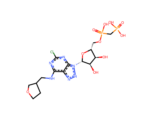 O=P(O)(O)CP(=O)(O)OC[C@H]1O[C@@H](n2nnc3c(NCC4CCOC4)nc(Cl)nc32)[C@H](O)[C@@H]1O